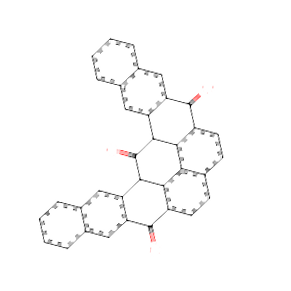 O=C1c2cc3ccccc3cc2C2C(=O)C3c4cc5ccccc5cc4C(=O)c4ccc5ccc1c2c5c43